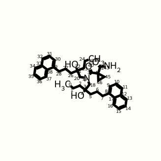 CCCC(O)(CCCc1cccc2ccccc12)CN(CC(O)(CCC)CCCc1cccc2ccccc12)C(=O)C1(C(N)=O)CC1